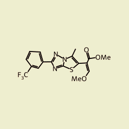 CO/C=C(/C(=O)OC)c1sc2nc(-c3cccc(C(F)(F)F)c3)nn2c1C